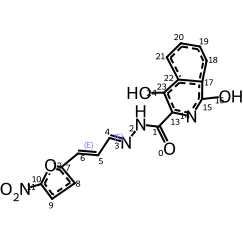 O=C(N/N=C/C=C/c1ccc([N+](=O)[O-])o1)c1nc(O)c2ccccc2c1O